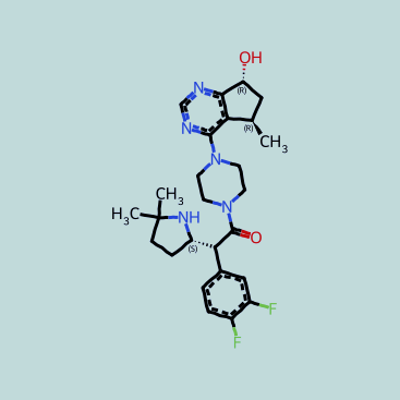 C[C@@H]1C[C@@H](O)c2ncnc(N3CCN(C(=O)C(c4ccc(F)c(F)c4)[C@@H]4CCC(C)(C)N4)CC3)c21